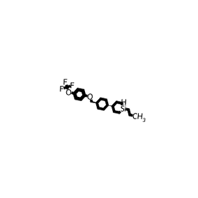 CCC[SiH]1CCC([C@H]2CC[C@H](COc3ccc(OC(F)(F)F)cc3)CC2)CC1